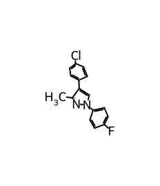 Cc1nn(-c2ccc(F)cc2)cc1-c1ccc(Cl)cc1